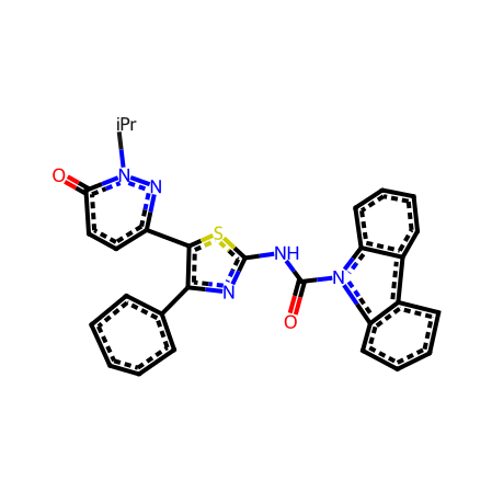 CC(C)n1nc(-c2sc(NC(=O)n3c4ccccc4c4ccccc43)nc2-c2ccccc2)ccc1=O